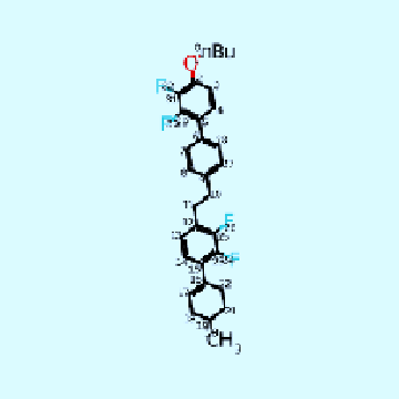 CCCCOc1ccc(-c2ccc(CCc3ccc(C4=CCC(C)CC4)c(F)c3F)cc2)c(F)c1F